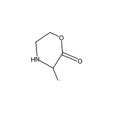 [CH2]C1NCCOC1=O